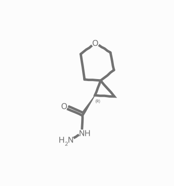 NNC(=O)[C@@H]1CC12CCOCC2